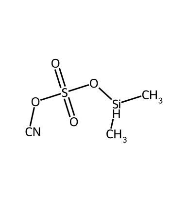 C[SiH](C)OS(=O)(=O)OC#N